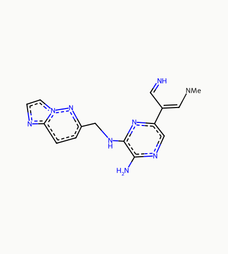 CN/C=C(\C=N)c1cnc(N)c(NCc2ccc3nccn3n2)n1